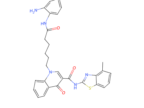 Cc1cccc2sc(NC(=O)c3cn(CCCCCC(=O)Nc4ccccc4N)c4ccccc4c3=O)nc12